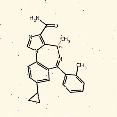 Cc1ccccc1C1=N[C@@H](C)c2c(C(N)=O)ncn2-c2ccc(C3CC3)cc21